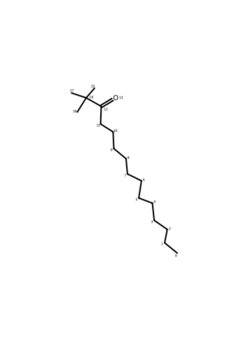 CCCCCCCCCCCCC(=O)C(C)(C)C